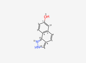 Oc1ccc2c(ccc3c[nH]nc32)c1